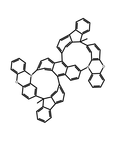 CC12c3ccc4c(c3)N(c3ccc5c6c7cc(ccc7c(c5c3)-c3ccc(c1c3)-c1ccccc12)N1c2ccccc2Oc2ccc(cc21)C1(C)c2ccccc2-c2ccc-6cc21)c1ccccc1O4